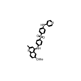 COc1ccc2nc(C)cc(Nc3ccc(S(=O)(=O)c4ccc(Nc5ccncc5)cc4)cc3)c2c1